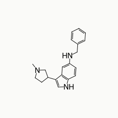 CN1CCC(c2c[nH]c3ccc(NCc4ccccc4)cc23)C1